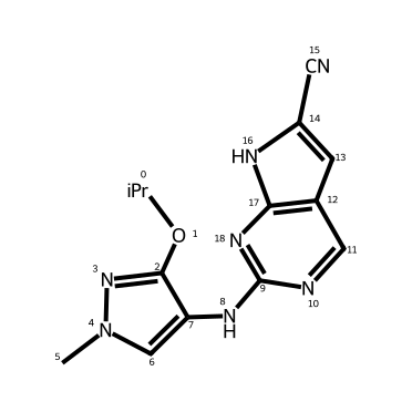 CC(C)Oc1nn(C)cc1Nc1ncc2cc(C#N)[nH]c2n1